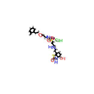 Cc1ccccc1CCOCCNS(=O)(=O)CCCNCCc1ccc(O)c2[nH]c(=O)sc12.Cl